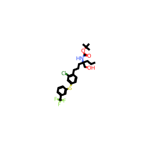 CCCC(CO)(CCCc1ccc(Sc2cccc(C(F)(F)F)c2)cc1Cl)NC(=O)OC(C)(C)C